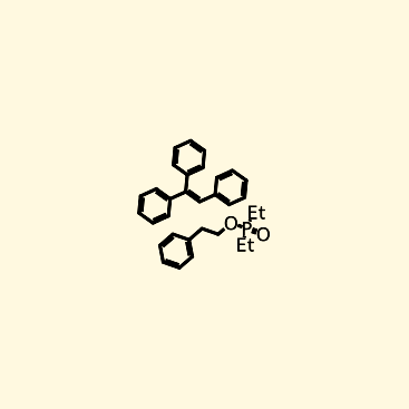 C(=C(c1ccccc1)c1ccccc1)c1ccccc1.CCP(=O)(CC)OCCc1ccccc1